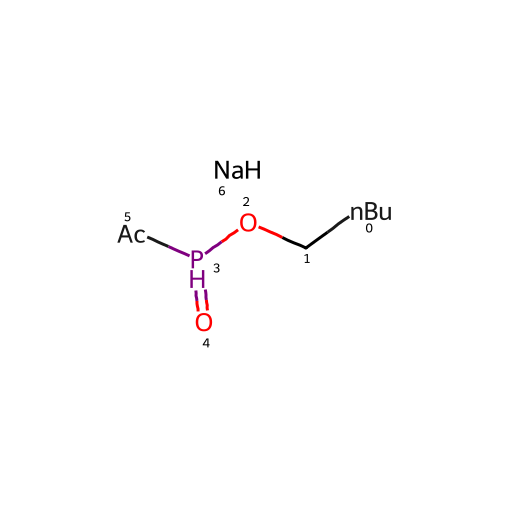 CCCCCO[PH](=O)C(C)=O.[NaH]